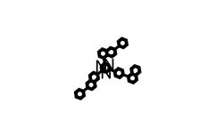 c1ccc(-c2ccc3cc(-c4nc(-c5ccc(-c6cccc7ccccc67)cc5)nc(-c5cccc6cc(-c7ccccc7)ccc56)n4)ccc3c2)cc1